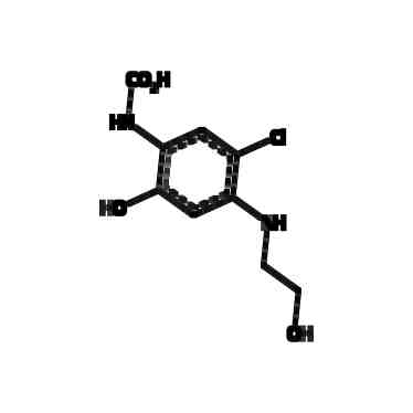 O=C(O)Nc1cc(Cl)c(NCCO)cc1O